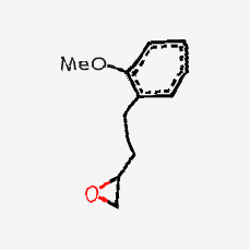 COc1ccccc1CCC1CO1